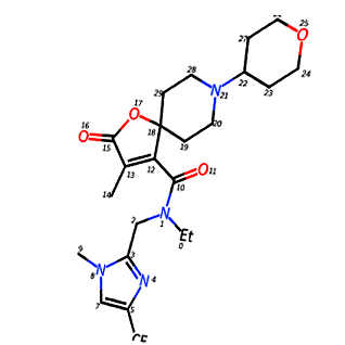 CCN(Cc1nc(C(F)(F)F)cn1C)C(=O)C1=C(C)C(=O)OC12CCN(C1CCOCC1)CC2